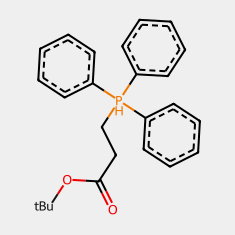 CC(C)(C)OC(=O)CC[PH](c1ccccc1)(c1ccccc1)c1ccccc1